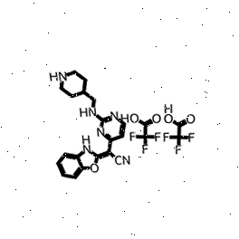 N#CC(=C1Nc2ccccc2O1)c1ccnc(NCC2CCNCC2)n1.O=C(O)C(F)(F)F.O=C(O)C(F)(F)F